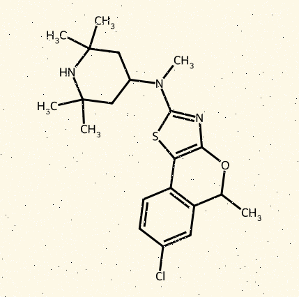 CC1Oc2nc(N(C)C3CC(C)(C)NC(C)(C)C3)sc2-c2ccc(Cl)cc21